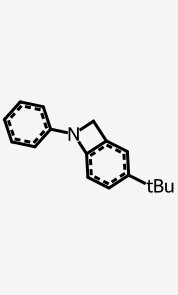 CC(C)(C)c1ccc2c(c1)CN2c1ccccc1